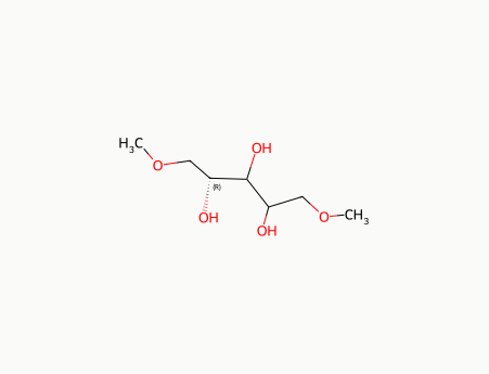 COCC(O)C(O)[C@H](O)COC